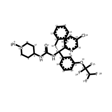 CC(C)N1CCC(NC(=O)N[C@](Cc2ccccc2)(c2cccc(OC(F)(F)C(F)F)c2)c2ccc(Cl)cn2)CC1